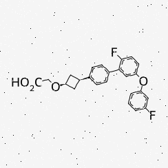 O=C(O)CO[C@H]1C[C@@H](c2ccc(-c3cc(Oc4cccc(F)c4)ccc3F)cc2)C1